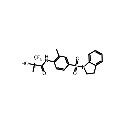 Cc1cc(S(=O)(=O)N2CCc3ccccc32)ccc1NC(=O)[C@@](C)(O)C(F)(F)F